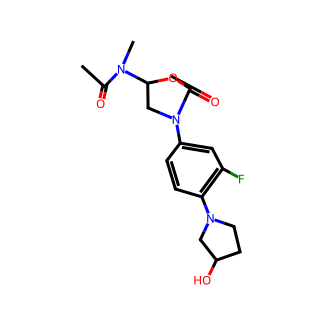 CC(=O)N(C)C1CN(c2ccc(N3CCC(O)C3)c(F)c2)C(=O)O1